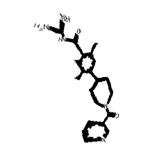 Cc1cc(C2CCN(C(=O)c3cccnc3)CC2)c(C)cc1C(=O)NC(=N)N